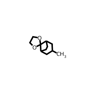 CC1CC2CCC(C1)C21OCCO1